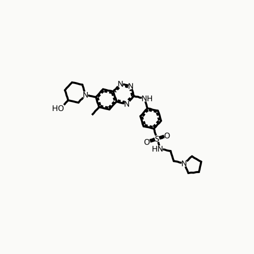 Cc1cc2nc(Nc3ccc(S(=O)(=O)NCCN4CCCC4)cc3)nnc2cc1N1CCCC(O)C1